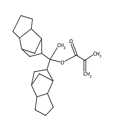 C=C(C)C(=O)OC(C)(C1CC2CC1C1CCCC21)C1CC2CC1C1CCCC21